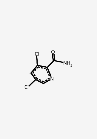 NC(=O)c1ncc(Cl)[c]c1Cl